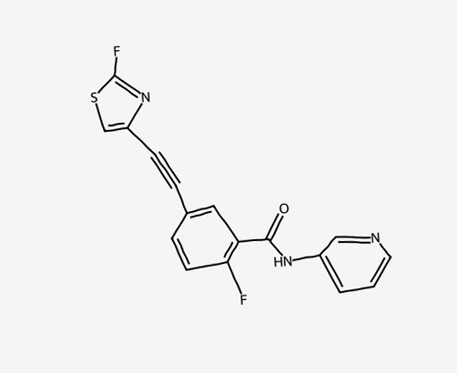 O=C(Nc1cccnc1)c1cc(C#Cc2csc(F)n2)ccc1F